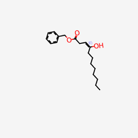 CCCCCCCC/C(O)=C\CC(=O)OCc1ccccc1